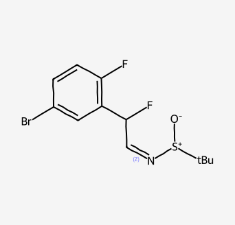 CC(C)(C)[S+]([O-])/N=C\C(F)c1cc(Br)ccc1F